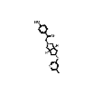 Cc1cncc(O[C@H]2C[C@@H]3CN(CC(O)c4ccc(O)cc4)C[C@@H]3C2)c1